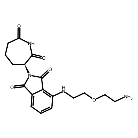 NCCOCCNc1cccc2c1C(=O)N([C@H]1CCCC(=O)NC1=O)C2=O